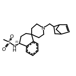 CS(=O)(=O)N[C@H]1CCC2(CCN(CC3CC4C=CC3C4)CC2)c2ccccc21